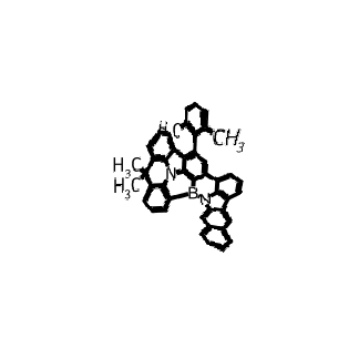 Cc1cccc(C)c1-c1cc2c3c4c1c1cccc5c1n4-c1c(cccc1C5(C)C)B3n1c3cc4ccccc4cc3c3cccc-2c31